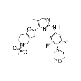 Cc1cnc(Nc2cc(F)c(N3CCOCC3)c(F)c2)nc1-c1cc2c(o1)CCN(S(C)(=O)=O)C2